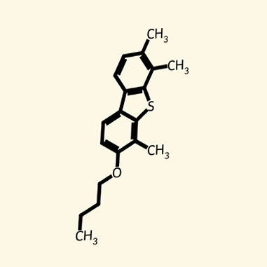 CCCCOc1ccc2c(sc3c(C)c(C)ccc32)c1C